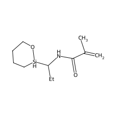 C=C(C)C(=O)NC(CC)[SiH]1CCCCO1